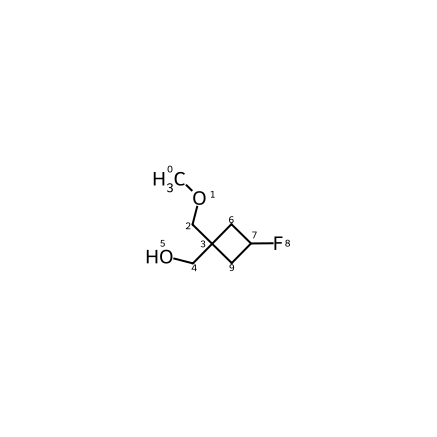 COCC1(CO)CC(F)C1